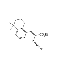 CCOC(=O)/C(=C/c1cccc2c1CCCC2(C)C)N=[N+]=[N-]